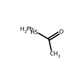 CC(=O)S.[PbH2]